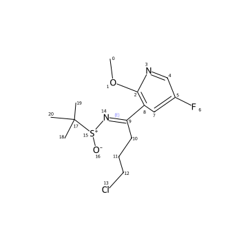 COc1ncc(F)cc1/C(CCCCl)=N/[S+]([O-])C(C)(C)C